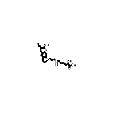 N#CC(Cc1ccc2c(c1)CCCN2CCC(=O)NCCCCC(N)C(=O)O)C(=O)O